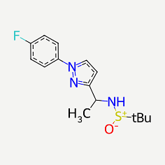 CC(N[S+]([O-])C(C)(C)C)c1ccn(-c2ccc(F)cc2)n1